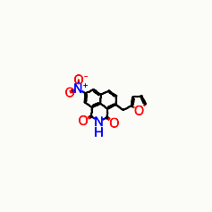 O=C1NC(=O)c2c(Cc3ccco3)ccc3cc([N+](=O)[O-])cc1c23